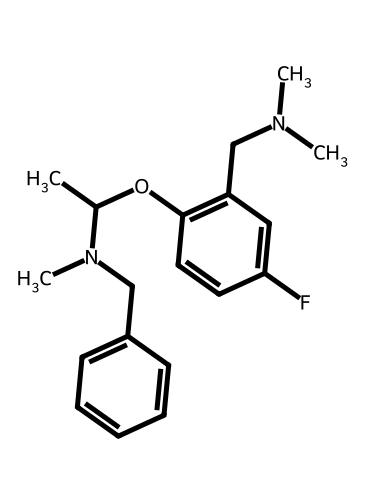 CC(Oc1ccc(F)cc1CN(C)C)N(C)Cc1ccccc1